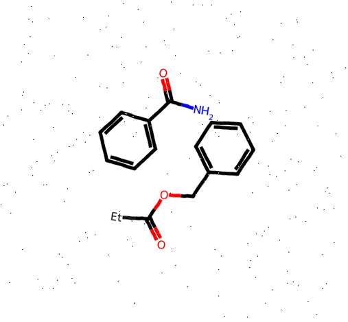 CCC(=O)OCc1ccccc1.NC(=O)c1ccccc1